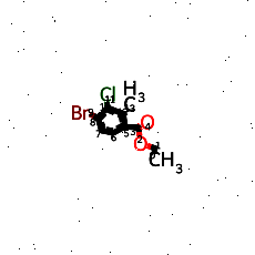 CCOC(=O)c1ccc(Br)c(Cl)c1C